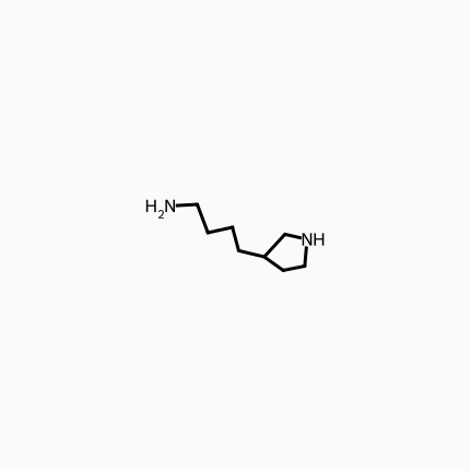 NCCCCC1CCNC1